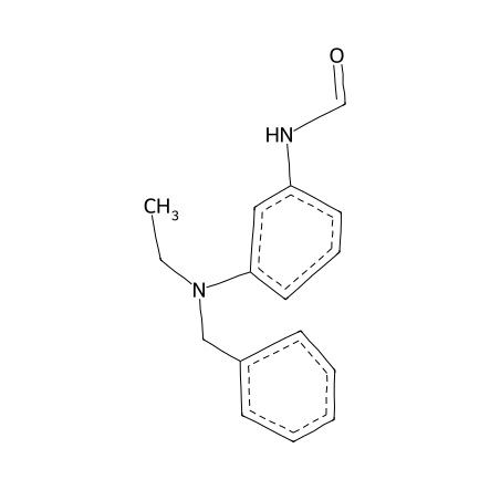 CCN(Cc1ccccc1)c1cccc(NC=O)c1